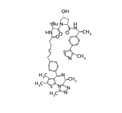 Cc1ncsc1-c1ccc([C@H](C)NC(=O)[C@@H]2C[C@@H](O)CN2C(=O)C(NC(=O)CCCCCc2ccc(C3=N[C@@H](C)c4nnc(C)n4-c4sc(C)c(C)c43)cc2)C(C)(C)C)cc1